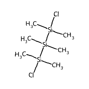 C[Si](C)(Cl)[Si](C)(C)[Si](C)(C)Cl